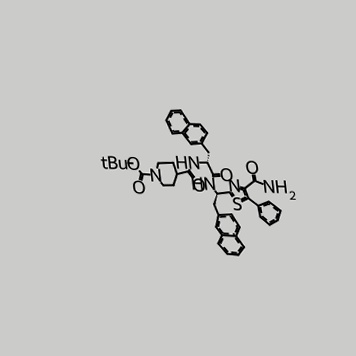 CC(C)(C)OC(=O)N1CCC(C(=O)N[C@H](Cc2ccc3ccccc3c2)C(=O)N[C@H](Cc2ccc3ccccc3c2)c2nc(C(N)=O)c(-c3ccccc3)s2)CC1